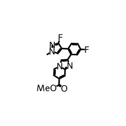 COC(=O)c1ccn2cc(-c3cc(F)ccc3-c3cn(C)nc3F)nc2c1